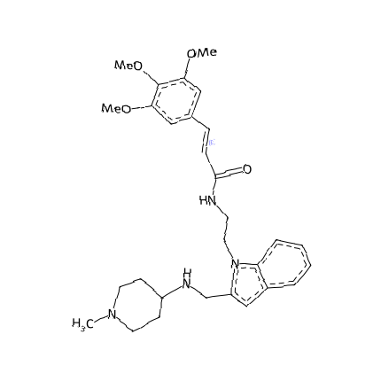 COc1cc(/C=C/C(=O)NCCn2c(CNC3CCN(C)CC3)cc3ccccc32)cc(OC)c1OC